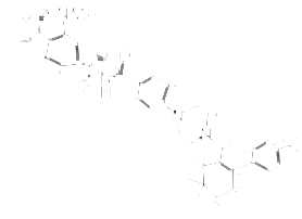 CNc1cc(S(=O)(=O)NC(=O)c2ccc(N3CCN(CC4=C(c5ccc(Cl)cc5)CCC(C)(C)C4)CC3)cc2)ccc1S(=O)(=O)C(F)(F)F